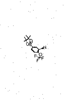 CC1(C)OB(c2ccc(OC(F)(F)F)c(C#N)c2)OC1(C)C